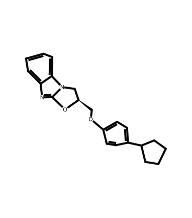 c1ccc2c(c1)nc1n2C[C@@H](COc2ccc(C3CCCC3)cc2)O1